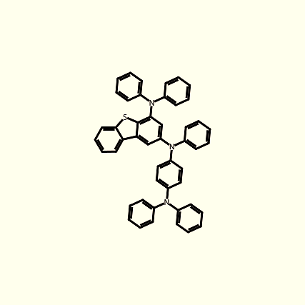 c1ccc(N(c2ccccc2)c2ccc(N(c3ccccc3)c3cc(N(c4ccccc4)c4ccccc4)c4sc5ccccc5c4c3)cc2)cc1